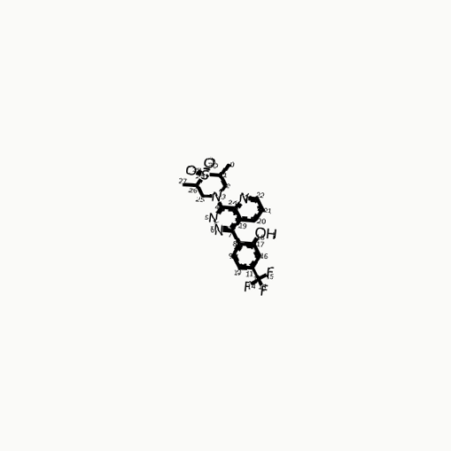 CC1CN(c2nnc(-c3ccc(C(F)(F)F)cc3O)c3cccnc23)CC(C)S1(=O)=O